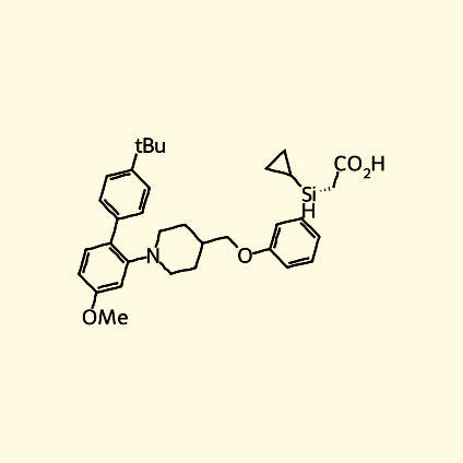 COc1ccc(-c2ccc(C(C)(C)C)cc2)c(N2CCC(COc3cccc([Si@@H](CC(=O)O)C4CC4)c3)CC2)c1